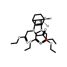 CCOC(=O)CN(CC(=O)OCC)C1C2C=C[C@@H](CC2)[C@H]1N(CC(=O)OCC)CC(=O)OCC